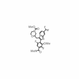 CNC(=O)c1cc(F)c(-c2nc3cc(C(F)F)ccn3c2CC2CN(C(=O)OC)CCO2)c(OC)c1F